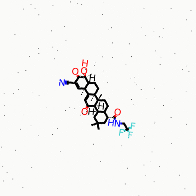 CC1(C)C[C@@H]2C(CC[C@]3(C)[C@@H]2C(=O)C=C2[C@@]4(C)C=C(C#N)C(=O)[C@@](C)(O)[C@@H]4CC[C@]23C)[C@H](C(=O)NCC(F)(F)F)C1